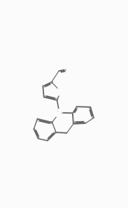 O=Cc1ccc(N2c3ccccc3Cc3ccccc32)[se]1